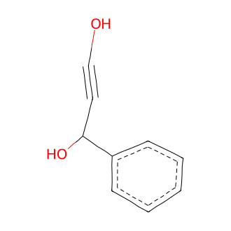 OC#CC(O)c1ccccc1